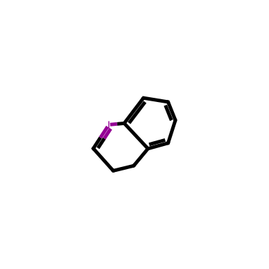 C1=Ic2ccccc2CC1